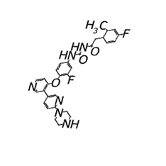 CC1C=C(F)C=CC1CC(=O)NC(=O)Nc1ccc(Oc2ccncc2-c2ccc(N3CCNCC3)nc2)c(F)c1